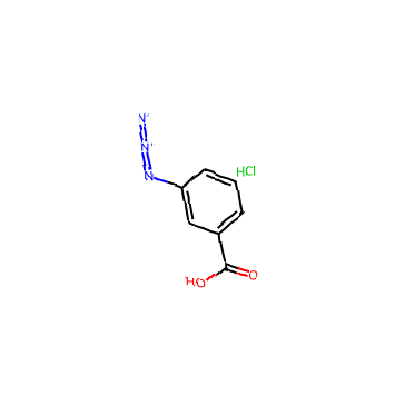 Cl.[N-]=[N+]=Nc1cccc(C(=O)O)c1